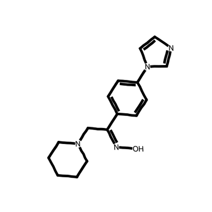 ON=C(CN1CCCCC1)c1ccc(-n2ccnc2)cc1